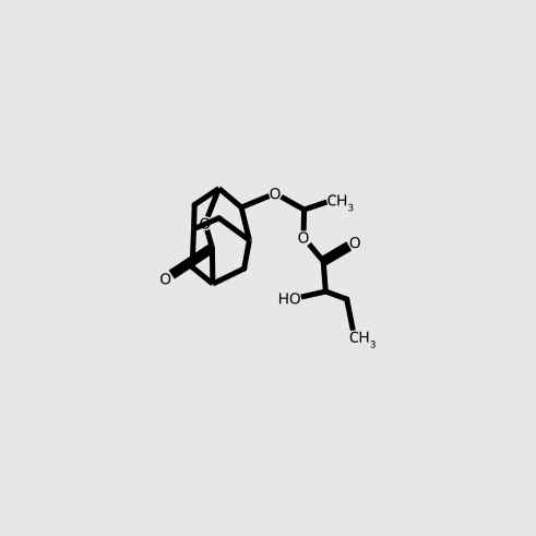 CCC(O)C(=O)OC(C)OC1C2CC3CC(C2)C(=O)OC1C3